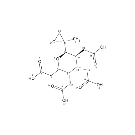 C[C@@]1([C@@H]2OC(CC(=O)O)[C@@H](CC(=O)O)[C@@H](CC(=O)O)[C@@H]2CC(=O)O)CO1